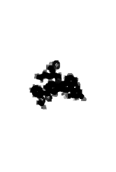 C=O.CCCCC(CC)Cn1c2ccc(C(=O)c3ccccc3OCC)cc2c2cc(-c3c(C)cc(C)cc3C)c3ccccc3c21